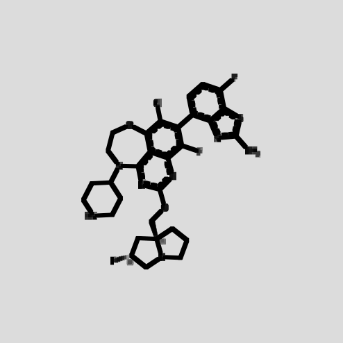 Nc1nc2c(-c3c(Cl)c4c5c(nc(OC[C@@]67CCCN6C[C@H](F)C7)nc5c3F)N(C3CCNCC3)CCO4)ccc(F)c2s1